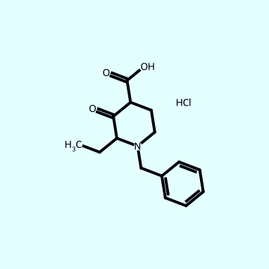 CCC1C(=O)C(C(=O)O)CCN1Cc1ccccc1.Cl